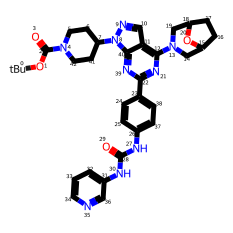 CC(C)(C)OC(=O)N1CCC(n2ncc3c(N4CC5CCC(C4)O5)nc(-c4ccc(NC(=O)Nc5cccnc5)cc4)nc32)CC1